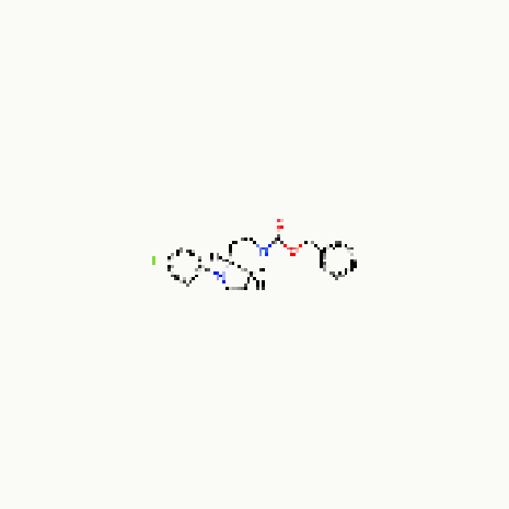 O=C(OCc1ccccc1)N1CC[C@@H]2[C@@H](CCN2c2ccc(F)cc2)C1